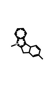 CC1=CC2Cc3c(c4ccccc4n3C)C2C=C1